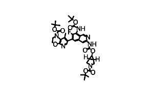 Cc1c(-c2cc3cc(NC(=O)O[C@H]4[C@@H]5CN(C(=O)OC(C)(C)C)C[C@@H]54)ncc3c(NC(=O)OC(C)(C)C)c2F)cnc2c1N(C(=O)OC(C)(C)C)CCO2